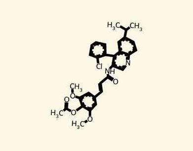 COc1cc(C=CC(=O)Nc2cnc3ccc(C(C)C)cc3c2-c2ccccc2Cl)cc(OC)c1OC(C)=O